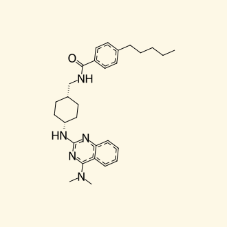 CCCCCc1ccc(C(=O)NC[C@H]2CC[C@@H](Nc3nc(N(C)C)c4ccccc4n3)CC2)cc1